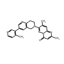 Cc1cc(=O)n2nc(N3CCc4ncc(-c5cnccc5C)cc4C3)c(C)cc2n1